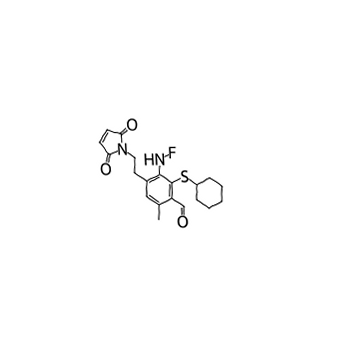 Cc1cc(CCN2C(=O)C=CC2=O)c(NF)c(SC2CCCCC2)c1C=O